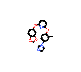 Cc1cc(-n2ccnc2)ccc1Oc1cccc(Oc2ccc3c(c2)OCO3)n1